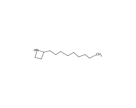 CCCCCCCCCC1CCN1